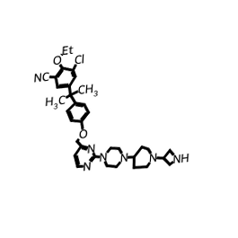 CCOc1c(Cl)cc(C(C)(C)c2ccc(OCc3ccnc(N4CCN(C5CCN(C6CNC6)CC5)CC4)n3)cc2)cc1C#N